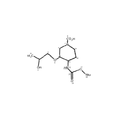 CC(O)COC1CN(C(=O)O)CCC1NC(=O)OC(C)(C)C